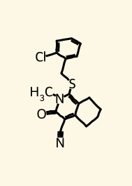 Cn1c(SCc2ccccc2Cl)c2c(c(C#N)c1=O)CCCC2